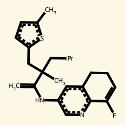 C=C(Nc1cnc2c(c1)CCC=C2F)C(C)(Cc1ccc(C)s1)CC(C)C